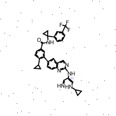 N=C/C(=C\NC1CC1)Nc1ncc2cc(-c3cc(C(=O)NC4(c5cccc(C(F)(F)F)c5)CC4)ccc3C3CC3)ccc2n1